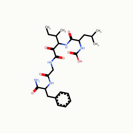 CCC(C)C(NC(=O)C(CC(C)C)NC(=O)O)C(=O)C(=O)NCC(=O)NC(Cc1ccccc1)C(N)=O